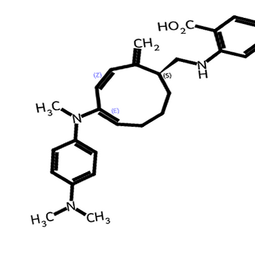 C=C1/C=C\C(N(C)c2ccc(N(C)C)cc2)=C/CCC[C@@H]1CNc1cnccc1C(=O)O